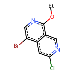 CCOc1ncc(Br)c2cc(Cl)ncc12